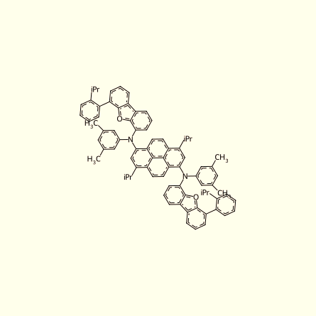 Cc1cc(C)cc(N(c2cc(C(C)C)c3ccc4c(N(c5cc(C)cc(C)c5)c5cccc6c5oc5c(-c7ccccc7C(C)C)cccc56)cc(C(C)C)c5ccc2c3c54)c2cccc3c2oc2c(-c4ccccc4C(C)C)cccc23)c1